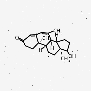 CC1=CC2=CC(=O)CC[C@]2(C)[C@H]2CC[C@]3(C)C(O)CC[C@H]3[C@H]12